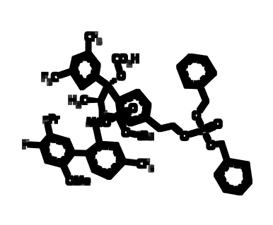 CCCc1cc(-c2ccc(C(F)(F)F)cc2CN(C(=O)OC(C)(C)C)[C@@H](C)[C@@](OC(=O)O)(c2cc(C(F)(F)F)cc(C(F)(F)F)c2)c2ccc(CCOP(=O)(OCc3ccccc3)OCc3ccccc3)cc2OC)c(OC)cc1F